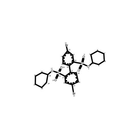 O=S(=O)(OC1CCCCC1)c1cc(Br)ccc1-c1ccc(Br)cc1S(=O)(=O)OC1CCCCC1